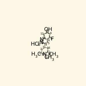 C[C@@H]1CC(c2cc3c(F)cc(O)cc3nn2)C[C@H](C)N1C.Cl